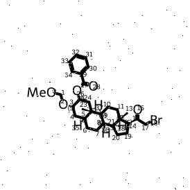 COCO[C@H]1C[C@@H]2CC[C@@H]3[C@H](CC[C@]4(C)[C@@H](C(=O)CBr)CC[C@@H]34)[C@@]2(C)C[C@@H]1OC(=O)c1ccccc1